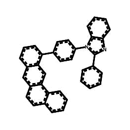 c1ccc(-c2nc3ccccc3n2-c2ccc(-c3cccc4cc5ccc6ccccc6c5cc34)cc2)cc1